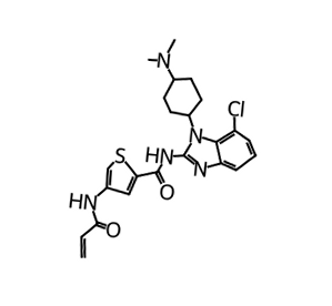 C=CC(=O)Nc1csc(C(=O)Nc2nc3cccc(Cl)c3n2C2CCC(N(C)C)CC2)c1